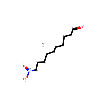 O=CCCCCCCCCC[N+](=O)O.[KH]